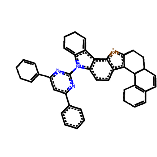 C1=CC(c2cc(-c3ccccc3)nc(-n3c4c(c5c6sc7c(c6ccc53)C3C5=C(C=CCC5)C=CC3CC7)=CCCC=4)n2)=CCC1